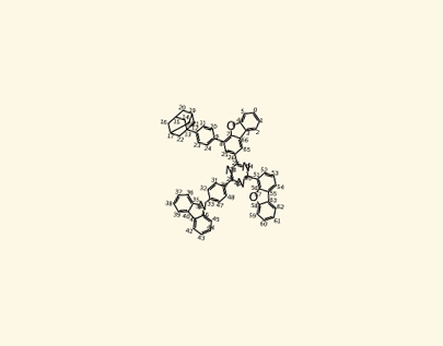 c1ccc2c(c1)oc1c(-c3ccc(C45CC6CC(CC(C6)C4)C5)cc3)cc(-c3nc(-c4ccc(-n5c6ccccc6c6ccccc65)cc4)nc(-c4cccc5c4oc4ccccc45)n3)cc12